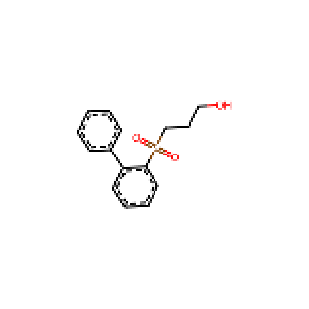 O=S(=O)(CCCO)c1ccccc1-c1ccccc1